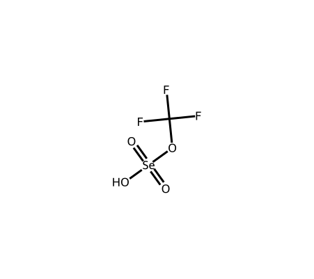 O=[Se](=O)(O)OC(F)(F)F